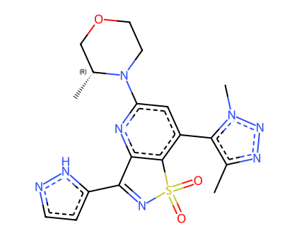 Cc1nnn(C)c1-c1cc(N2CCOC[C@H]2C)nc2c1S(=O)(=O)N=C2c1ccn[nH]1